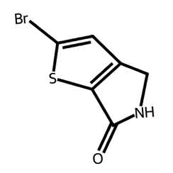 O=C1NCc2cc(Br)sc21